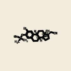 CCc1cc2c(cc1O[Si](C)(C)C(C)(C)C)CC[C@@H]1[C@@H]2CC[C@]2(C)[C@@H](CC#N)CC[C@@H]12